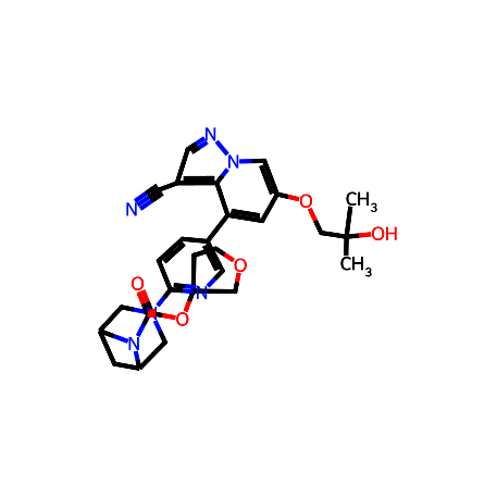 CC(C)(O)COc1cc(-c2ccc(N3CC4CC(C3)N4C(=O)OC3CCOC3)nc2)c2c(C#N)cnn2c1